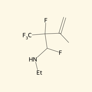 C=C(C)C(F)(C(F)NCC)C(F)(F)F